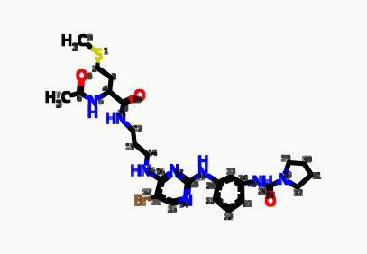 CSCCC(NC(C)=O)C(=O)NCCCNc1nc(Nc2cccc(NC(=O)N3CCCC3)c2)ncc1Br